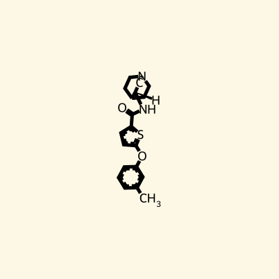 Cc1cccc(Oc2ccc(C(=O)N[C@H]3CN4CCC3CC4)s2)c1